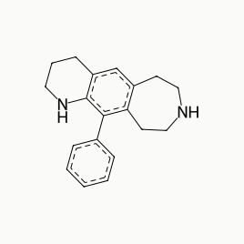 c1ccc(-c2c3c(cc4c2NCCC4)CCNCC3)cc1